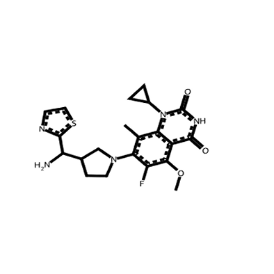 COc1c(F)c(N2CCC(C(N)c3nccs3)C2)c(C)c2c1c(=O)[nH]c(=O)n2C1CC1